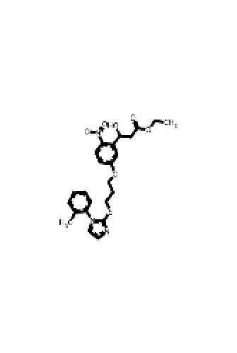 CCOC(=O)CC(O)c1cc(OCCCSc2nccn2-c2ccccc2C)ccc1[N+](=O)[O-]